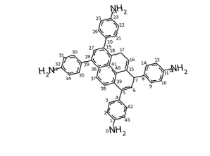 Nc1ccc(C2=CC(c3ccc(N)cc3)C3=CCc4c(-c5ccc(N)cc5)cc(-c5ccc(N)cc5)c5ccc2c3c45)cc1